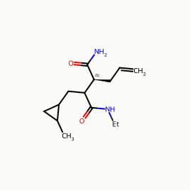 C=CC[C@H](C(N)=O)C(CC1CC1C)C(=O)NCC